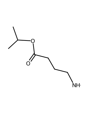 CC(C)OC(=O)CCC[NH]